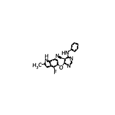 Cc1cc2c(F)c(Oc3ncnc(Nc4ccccc4)c3C#N)ccc2[nH]1